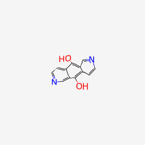 Oc1c2ccncc2c(O)c2ccncc12